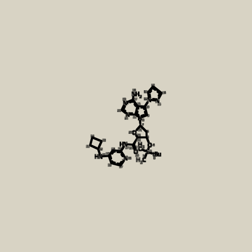 CC(C)(C)[Si](C)(C)OC1C[C@H](n2cc(-n3cccn3)c3c(N)ncnc32)O[C@@H]1C(=O)Nc1cc(NC2CCC2)ccn1